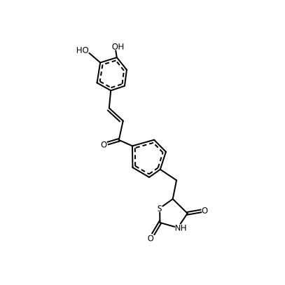 O=C1NC(=O)C(Cc2ccc(C(=O)C=Cc3ccc(O)c(O)c3)cc2)S1